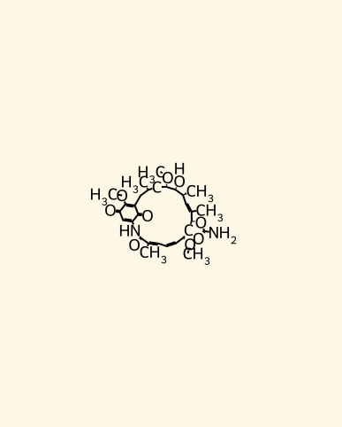 COC1=C2C[C@@H](C)C[C@H](OC)[C@H](O)[C@@H](C)/C=C(\C)[C@H](OC(N)=O)C[C@@H](OC)/C=C\C=C(/C)C(=O)NC(=CC1=O)C2=O